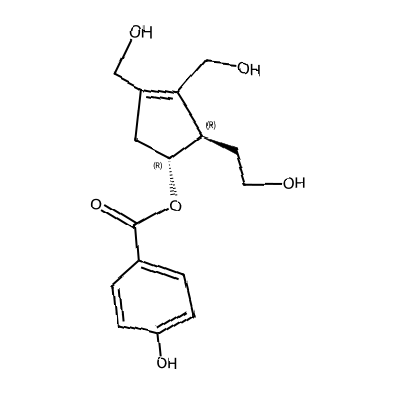 O=C(O[C@@H]1CC(CO)=C(CO)[C@H]1CCO)c1ccc(O)cc1